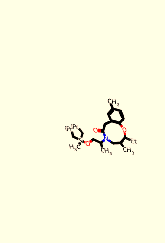 CCC1Oc2ccc(C)cc2CC(=O)N(C(C)CO[Si](C)(CC(C)C)CC(C)C)CC1C